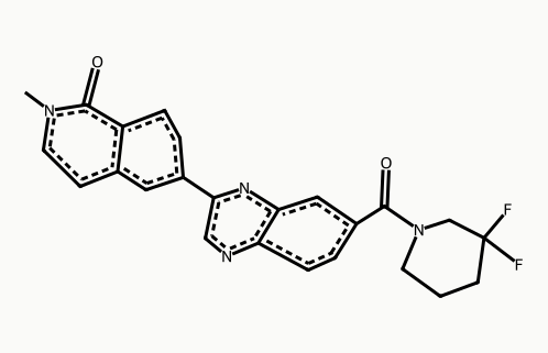 Cn1ccc2cc(-c3cnc4ccc(C(=O)N5CCCC(F)(F)C5)cc4n3)ccc2c1=O